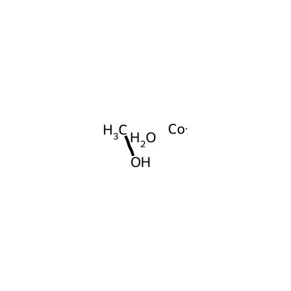 CO.O.[Co]